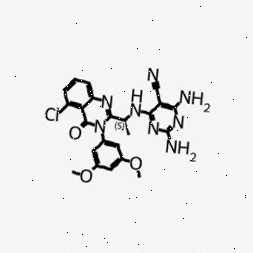 COc1cc(OC)cc(-n2c([C@H](C)Nc3nc(N)nc(N)c3C#N)nc3cccc(Cl)c3c2=O)c1